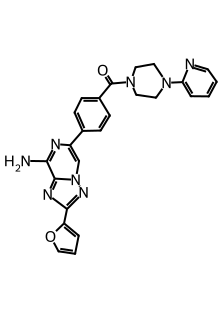 Nc1nc(-c2ccc(C(=O)N3CCN(c4ccccn4)CC3)cc2)cn2nc(-c3ccco3)nc12